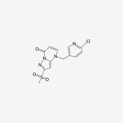 CS(=O)(=O)c1cc2n(Cc3ccc(Cl)nc3)ccc(=O)n2n1